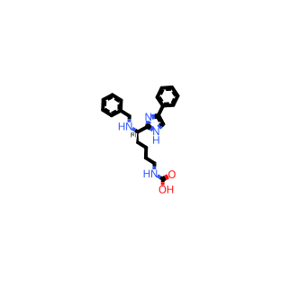 O=C(O)NCCCC[C@@H](NCc1ccccc1)c1nc(-c2ccccc2)c[nH]1